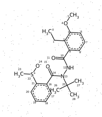 CCc1c(OC)cccc1C(=O)NN(C(=O)c1ccccc1[S+](C)[O-])C(C)(C)C